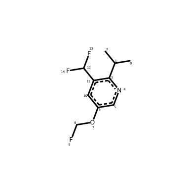 CC(C)c1ncc(OCF)cc1C(F)F